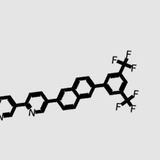 FC(F)(F)c1cc(-c2ccc3cc(-c4ccc(-c5cccnc5)nc4)ccc3c2)cc(C(F)(F)F)c1